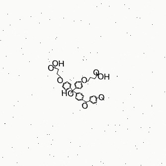 COc1ccc(C(=O)c2ccc(C(O)(c3ccc(OCCCC(=O)O)cc3)c3ccc(OCCCC(=O)O)cc3)cc2)cc1